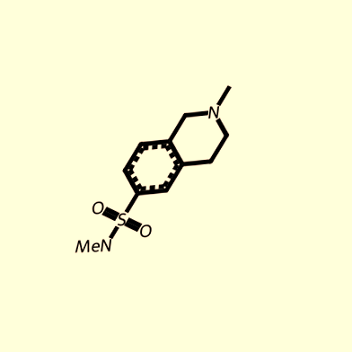 CNS(=O)(=O)c1ccc2c(c1)CCN(C)C2